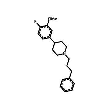 COc1cc(C2CCN(C[CH]Cc3ccccc3)CC2)ccc1F